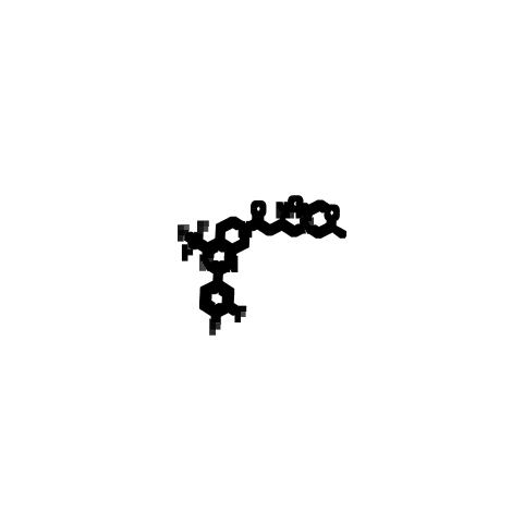 C[C@H]1CN(C[C@@H](N)CC(=O)N2CCc3c(nc(-c4ccc(F)c(F)c4)nc3C(F)(F)F)C2)C(=O)CO1